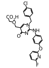 O=C(O)COCc1cn(Cc2ccc(Cl)cc2)c(Nc2ccc(Oc3cccc(F)n3)cc2)nc1=O